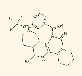 CC(Nc1nn2c(-c3cccc(OC(F)(F)F)c3)nnc2c2c1CCCC2)C1CCNCC1